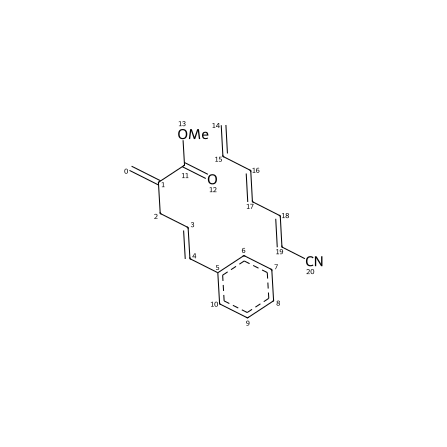 C=C(CC=Cc1ccccc1)C(=O)OC.C=CC=CC=CC#N